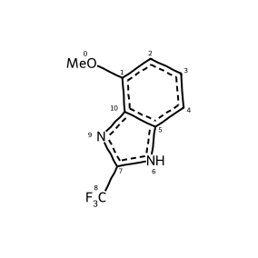 [CH2]Oc1cccc2[nH]c(C(F)(F)F)nc12